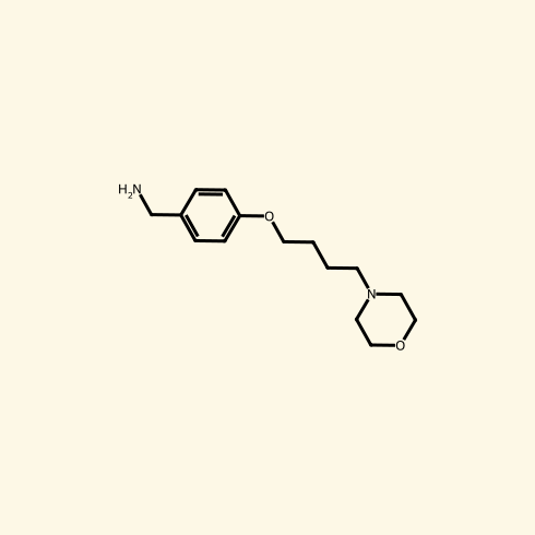 NCc1ccc(OCCCCN2CCOCC2)cc1